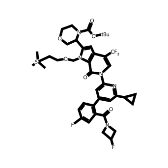 CC(C)(C)OC(=O)N1CCOCC1c1cc2c(C(F)(F)F)cn(-c3cc(-c4ccc(F)cc4C(=O)N4CC(F)C4)cc(C4CC4)n3)c(=O)c2n1COCC[Si](C)(C)C